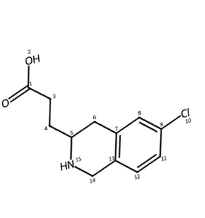 O=C(O)CCC1Cc2cc(Cl)ccc2CN1